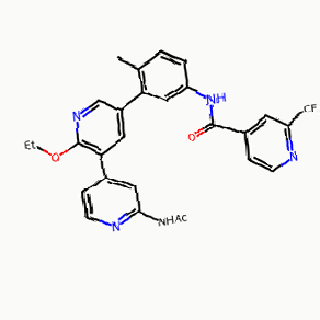 CCOc1ncc(-c2cc(NC(=O)c3ccnc(C(F)(F)F)c3)ccc2C)cc1-c1ccnc(NC(C)=O)c1